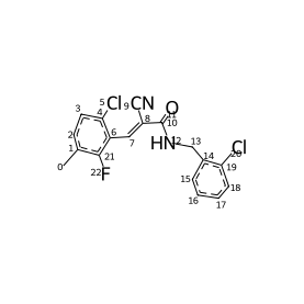 Cc1ccc(Cl)c(/C=C(\C#N)C(=O)NCc2ccccc2Cl)c1F